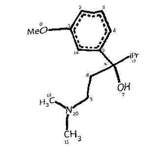 COc1cccc(C(O)(CCN(C)C)C(C)C)c1